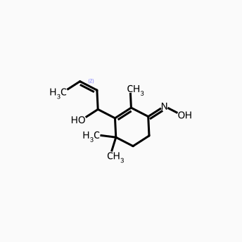 C/C=C\C(O)C1=C(C)C(=NO)CCC1(C)C